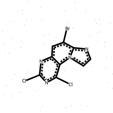 Clc1nc(Cl)c2c(cc(Br)c3nccn32)n1